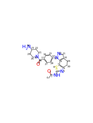 CC(=O)Nc1nc2c(s1)-c1c(cnn1-c1ccc(C(=O)N3CCC(N)CC3)cc1)CC2